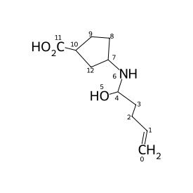 C=CCCC(O)NC1CCC(C(=O)O)C1